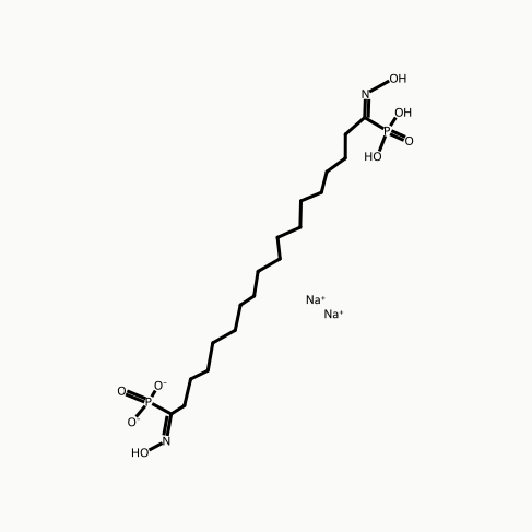 O=P([O-])([O-])C(CCCCCCCCCCCCCCCCC(=NO)P(=O)(O)O)=NO.[Na+].[Na+]